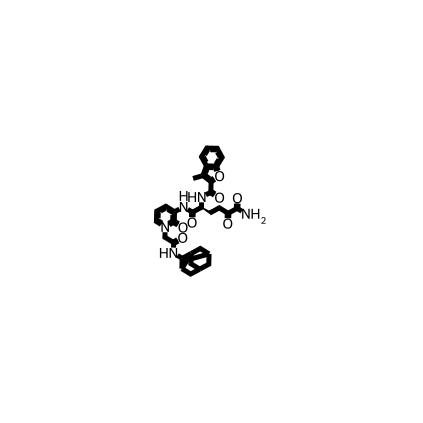 Cc1c(C(=O)N[C@@H](CCC(=O)C(N)=O)C(=O)Nc2cccn(CC(=O)NC3C4CC5CC(C4)CC3C5)c2=O)oc2ccccc12